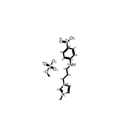 COS(=O)(=O)[O-].C[n+]1ccn(CCCNc2ccc([N+](=O)[O-])cc2)c1